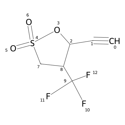 C#CC1OS(=O)(=O)CC1C(F)(F)F